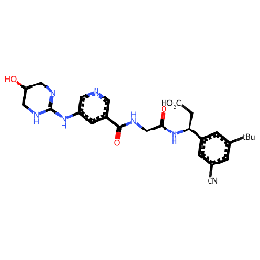 CC(C)(C)c1cc(C#N)cc([C@H](CC(=O)O)NC(=O)CNC(=O)c2cncc(NC3=NCC(O)CN3)c2)c1